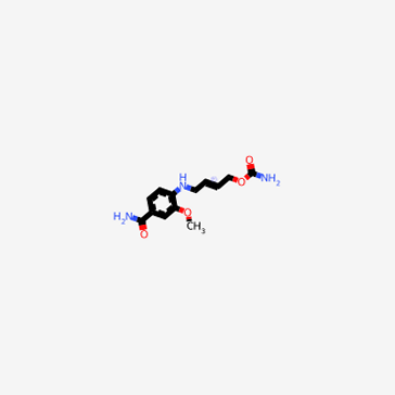 COc1cc(C(N)=O)ccc1NC/C=C/COC(N)=O